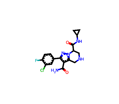 NC(=O)c1c(-c2ccc(F)c(Cl)c2)nn2c1CNCC2C(=O)NC1CC1